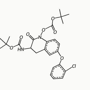 CC(C)(C)OC(=O)NC1Cc2cc(Oc3ccccc3Cl)ccc2N(OC(=O)OC(C)(C)C)C1=O